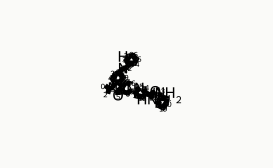 CC(C)N1C(=O)C2(CCN(c3ccc(C(=O)Nc4ccccc4N)cn3)CC2)c2cc(NCc3ccccc3)ccc21